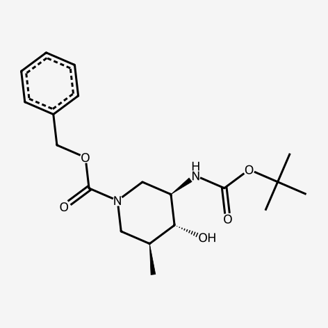 C[C@H]1CN(C(=O)OCc2ccccc2)C[C@@H](NC(=O)OC(C)(C)C)[C@@H]1O